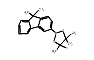 CC1(C)c2ccccc2-c2cc(B3OC(C)(C)C(C)(C)O3)ccc21